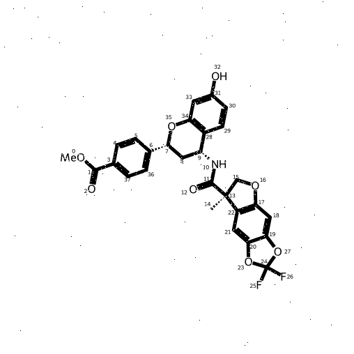 COC(=O)c1ccc([C@H]2C[C@@H](NC(=O)[C@@]3(C)COc4cc5c(cc43)OC(F)(F)O5)c3ccc(O)cc3O2)cc1